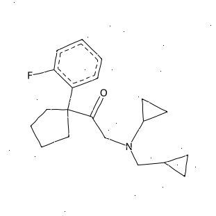 O=C(CN(CC1CC1)C1CC1)C1(c2ccccc2F)CCCC1